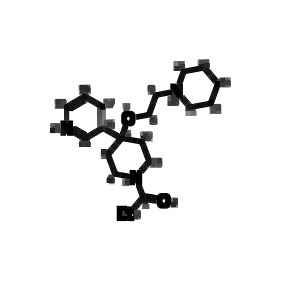 CCC(=O)N1CCC(OCCN2CCCCC2)(c2cccnc2)CC1